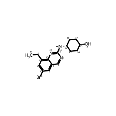 CCc1cc(Br)cc2cnc(N[C@H]3CC[C@H](O)CC3)nc12